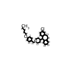 CCCCCOc1ccc(CN2CCC(C3c4ccccc4CCc4cc(Cl)ccc43)CC2)cc1